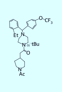 CCc1ccccc1C(c1ccc(OC(F)(F)F)cc1)N1CCN(C(=O)CC2CCN(C(C)=O)CC2)[C@@H](C(C)(C)C)C1